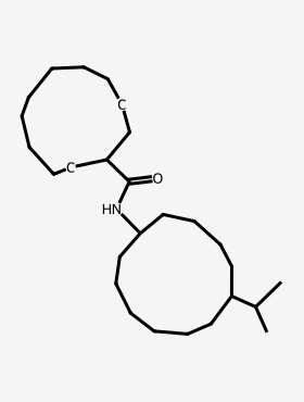 CC(C)C1CCCCCCC(NC(=O)C2CCCCCCCCCC2)CCCC1